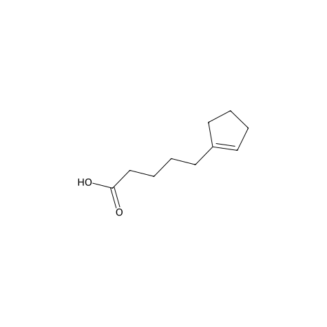 O=C(O)CCCCC1=CCCC1